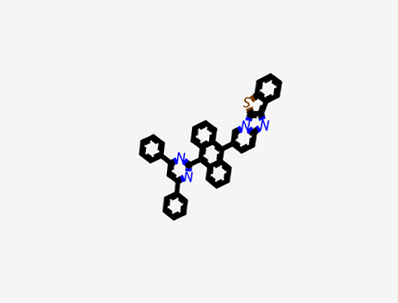 c1ccc(-c2cc(-c3ccccc3)nc(-c3c4ccccc4c(-c4ccc5nc6c7ccccc7sc6n5c4)c4ccccc34)n2)cc1